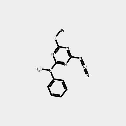 CC(C)Oc1nc(N=[N+]=[N-])nc(N(C)c2ccccc2)n1